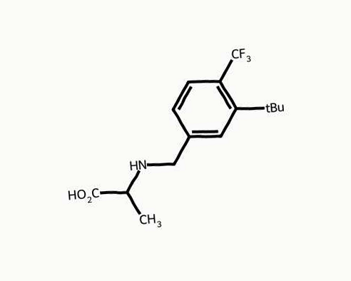 CC(NCc1ccc(C(F)(F)F)c(C(C)(C)C)c1)C(=O)O